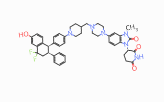 Cn1c(=O)n([C@H]2CCC(=O)NC2=O)c2ccc(N3CCN(CC4CCN(c5ccc([C@@H]6c7ccc(O)cc7C(F)(F)C[C@@H]6c6ccccc6)cc5)CC4)CC3)cc21